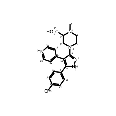 CN1CCN(c2n[nH]c(-c3ccc(Cl)cc3)c2-c2ccncc2)CC1C(=O)O